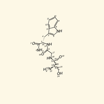 NC(=O)[C@H](Cc1c[nH]c2ccccc12)NC(=O)CN[13C](=O)[13C@H]([15NH2])[13CH2]O